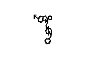 O=C1Cc2cc(F)ccc2N1CCN1CCN(Cc2ccccc2)CC1